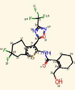 O=C(Nc1sc2c(c1-c1nc(C(F)(F)F)no1)CCC(F)(F)C2)C1=C(CO)CCCC1